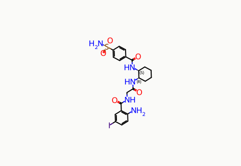 Nc1ccc(I)cc1C(=O)NCC(=O)N[C@@H]1CCCC[C@@H]1NC(=O)c1ccc(S(N)(=O)=O)cc1